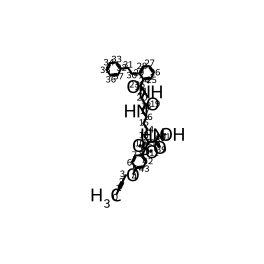 CC#CCOc1ccc(S(=O)(=O)C(CCCCNC(=O)CNC(=O)c2ccccc2CCc2ccccc2)C(=O)NO)cc1